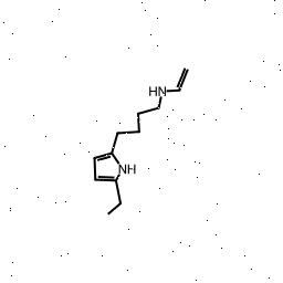 C=CNCCCCc1ccc(CC)[nH]1